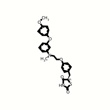 COc1ccc(Oc2cccc(N(C)CCOc3ccc(C[C@H]4SC(=O)NC4=O)cc3)c2)cc1